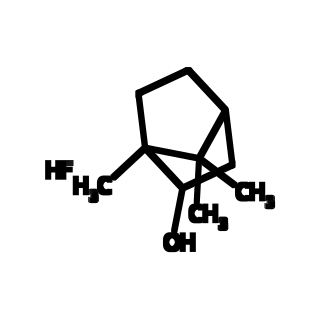 CC1(C)C2CCC1(C)C(O)C2.F